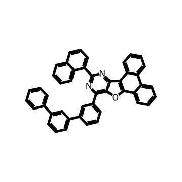 c1ccc(-c2cccc(-c3cccc(-c4nc(-c5cccc6ccccc56)nc5c4oc4c6ccccc6c6ccccc6c54)c3)c2)cc1